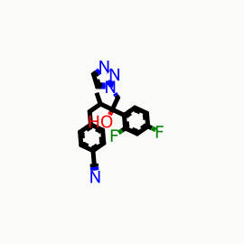 CC(Cc1ccc(C#N)cc1)C(O)(Cn1ccnn1)c1ccc(F)cc1F